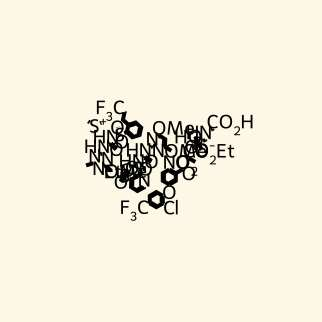 CCOC(=O)C(C)OC(=O)c1cc(Oc2ccc(C(F)(F)F)cc2Cl)ccc1[N+](=O)[O-].CCS(=O)(=O)c1cccnc1S(=O)(=O)NC(=O)Nc1nc(OC)cc(OC)n1.COc1nc(C)nc(NC(=O)NS(=O)(=O)c2ccccc2CCC(F)(F)F)n1.C[S+](C)C.O=C(O)CNCP(=O)([O-])O